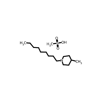 CCCCCCCCCN1CCC(C)CC1.CS(=O)(=O)O